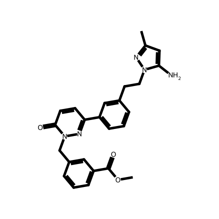 COC(=O)c1cccc(Cn2nc(-c3cccc(CCn4nc(C)cc4N)c3)ccc2=O)c1